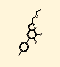 CCOCc1cc2cc(-c3ccc(C)cc3)c(F)c(F)c2o1